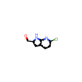 O=Cc1cc2ccc(Cl)nc2[nH]1